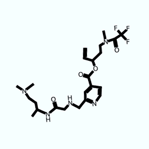 C=CC(CCN(C)C(=O)C(F)(F)F)OC(=O)c1ccnc(CNCC(=O)NC(C)CCN(C)C)c1